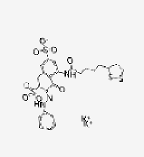 O=C(CCCCC1CCSS1)Nc1cc(S(=O)(=O)[O-])cc2c1C(=O)C(=NNc1ccccc1)C(S(=O)(=O)[O-])=C2.[K+].[K+]